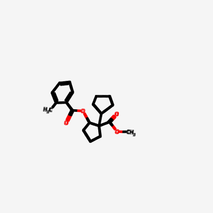 COC(=O)C1(C2CCCC2)CCCC1OC(=O)c1ccccc1C